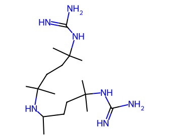 CC(CCC(C)(C)NC(=N)N)NC(C)(C)CCC(C)(C)NC(=N)N